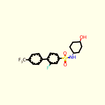 O=S(=O)(N[C@H]1CC[C@H](O)CC1)c1ccc(-c2ccc(C(F)(F)F)cc2)c(F)c1